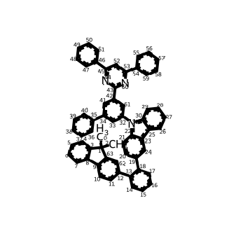 CC1(C)c2ccccc2-c2ccc(-c3ccccc3-c3ccc4c(c3)c3ccccc3n4-c3cc(-c4ccccc4)cc(-c4nc(-c5ccccc5)cc(-c5ccccc5)n4)c3)cc21